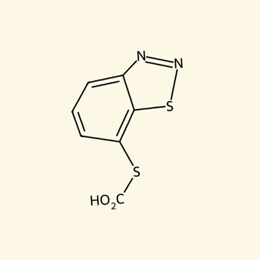 O=C(O)Sc1cccc2nnsc12